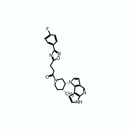 C[C@@H]1CCN(C(=O)CCc2nc(-c3ccc(F)cc3)no2)C[C@@H]1n1ccc2cnc3[nH]ccc3c21